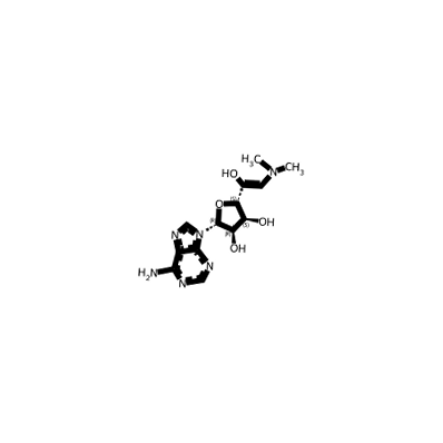 CN(C)C=C(O)[C@H]1O[C@@H](n2cnc3c(N)ncnc32)[C@H](O)[C@@H]1O